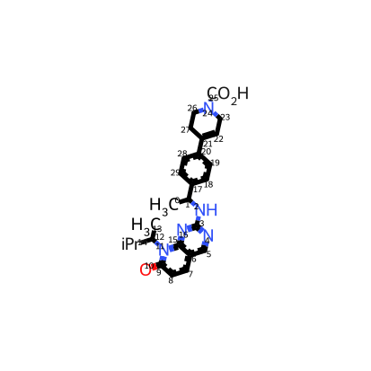 CC(Nc1ncc2ccc(=O)n(C(C)C(C)C)c2n1)c1ccc(C2=CCN(C(=O)O)CC2)cc1